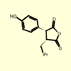 CC(C)C[C@H]1C(=O)OC(=O)[C@H]1c1ccc(O)cc1